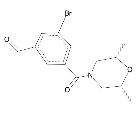 C[C@@H]1CN(C(=O)c2cc(Br)cc(C=O)c2)C[C@H](C)O1